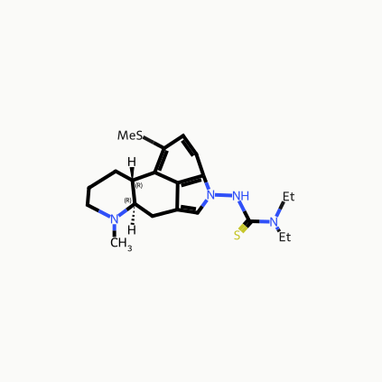 CCN(CC)C(=S)Nn1cc2c3c(c(SC)ccc31)[C@H]1CCCN(C)[C@@H]1C2